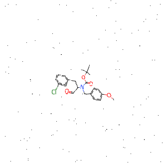 COc1ccc(CN(C(=O)OC(C)(C)C)C(C=O)Cc2cccc(Cl)c2)cc1